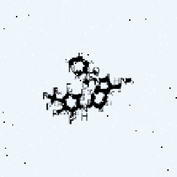 CNCc1cn(S(=O)(=O)c2cccnc2)c2cc(Nc3c(F)c(F)c(C(F)(F)F)c(F)c3F)ccc12